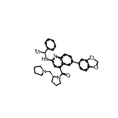 CCC(Nc1cc(C(=O)N2CCC[C@H]2CN2CCCC2)c2cc(-c3ccc4c(c3)OCO4)ccc2n1)c1ccccc1